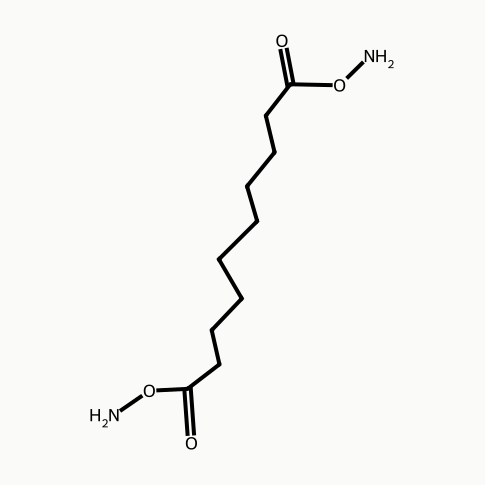 NOC(=O)CCCCCCCCC(=O)ON